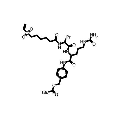 C=CS(=O)(=O)CCCCCC(=O)NC(C(=O)NC(CCCNC(N)=O)C(=O)Nc1ccc(COC(=O)C(C)(C)C)cc1)C(C)C